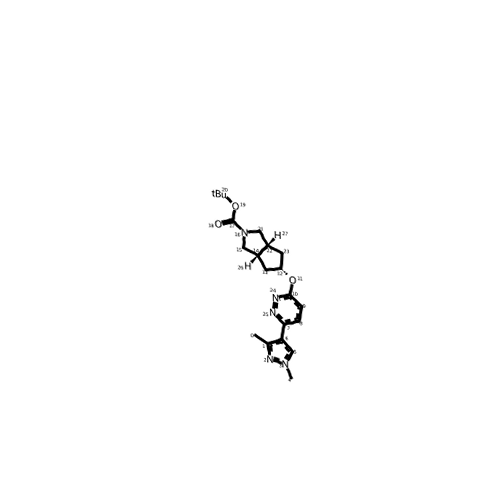 Cc1nn(C)cc1-c1ccc(O[C@@H]2C[C@@H]3CN(C(=O)OC(C)(C)C)C[C@@H]3C2)nn1